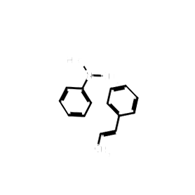 CC=Cc1ccccc1.CN(C)c1ccccc1